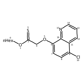 CCCCCCOC(=S)COc1ccc(Cl)c2cccnc12